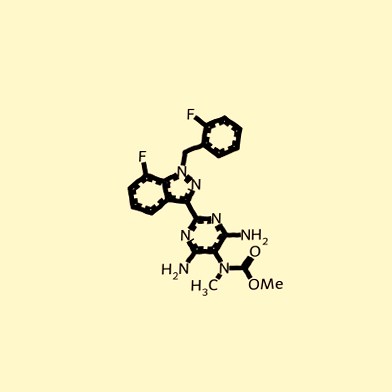 COC(=O)N(C)c1c(N)nc(-c2nn(Cc3ccccc3F)c3c(F)cccc23)nc1N